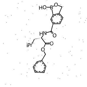 CC(C)C[C@H](NC(=O)c1ccc2c(c1)B(O)OC2)C(=O)OCc1ccccc1